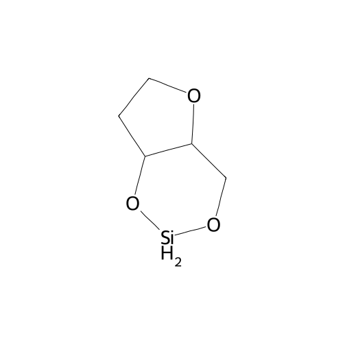 C1CC2O[SiH2]OCC2O1